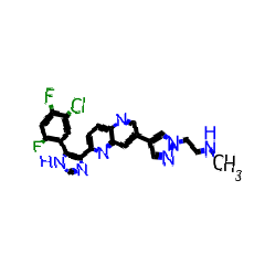 CNCCn1cc(-c2cnc3ccc(-c4nc[nH]c4-c4cc(Cl)c(F)cc4F)nc3c2)cn1